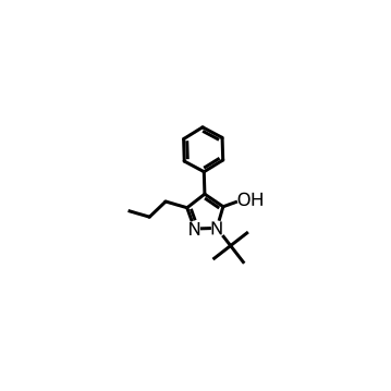 CCCc1nn(C(C)(C)C)c(O)c1-c1ccccc1